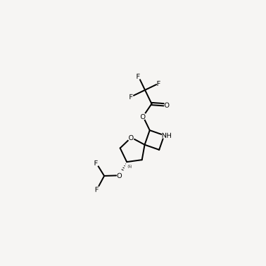 O=C(OC1NCC12C[C@H](OC(F)F)CO2)C(F)(F)F